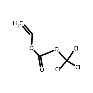 C=COC(=O)OC(Cl)(Cl)Cl